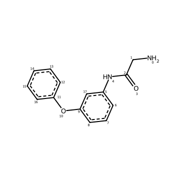 NCC(=O)Nc1cccc(Oc2ccccc2)c1